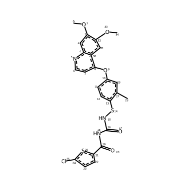 COc1cc2nccc(Oc3ccc(SNC(=O)NC(=O)c4ccc(Cl)s4)c(C)c3)c2cc1OC